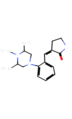 CNC1CN(c2ccccc2C=C2CCNC2=O)CC(NC)N1NC